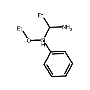 CCO[SiH](c1ccccc1)C(N)CC